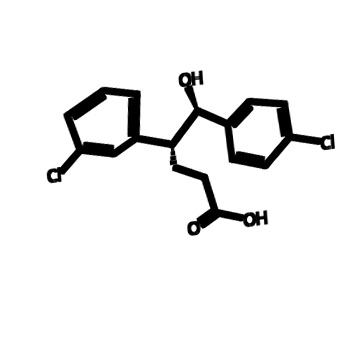 O=C(O)CC[C@H](c1cccc(Cl)c1)[C@@H](O)c1ccc(Cl)cc1